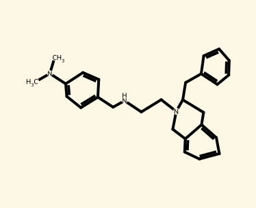 CN(C)c1ccc(CNCCN2Cc3ccccc3CC2Cc2ccccc2)cc1